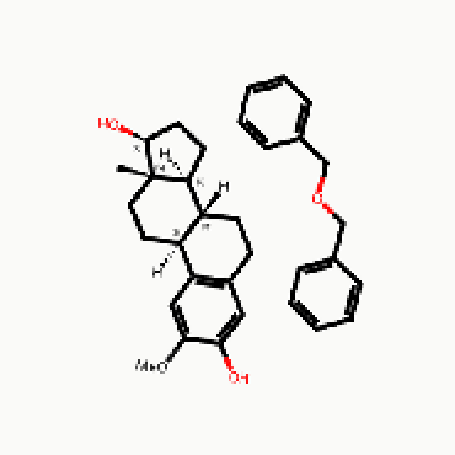 COc1cc2c(cc1O)CC[C@@H]1[C@@H]2CC[C@]2(C)[C@@H](O)CC[C@@H]12.c1ccc(COCc2ccccc2)cc1